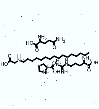 CCCCCCCCCCCCCCCCNCC(=O)O.N=C(N)NCCCC(N)C(=O)O.NC(=O)CCC(N)C(=O)O.O=C(O)[C@@H]1CCCN1